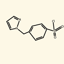 O=S(=O)(Cl)c1ccc(Cn2cccn2)cc1